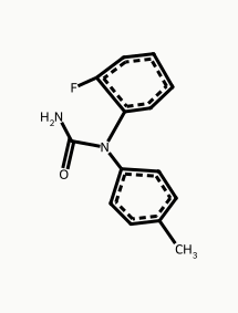 Cc1ccc(N(C(N)=O)c2ccccc2F)cc1